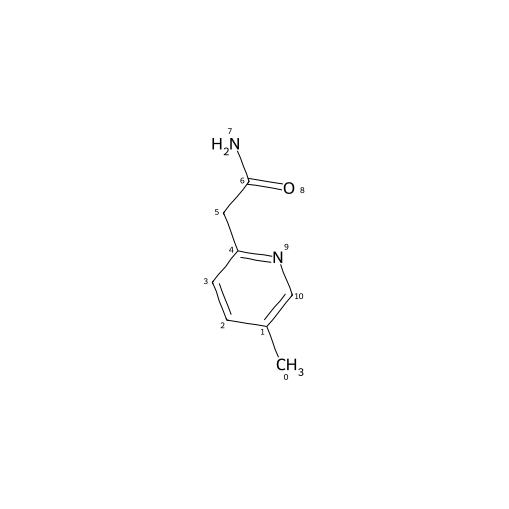 Cc1ccc(CC(N)=O)nc1